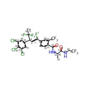 CCC(F)(F)C(/C=C(\F)c1ccc(C(=O)N[C@H](C)C(=O)NCC(F)(F)F)c(C(F)(F)F)c1)c1cc(Cl)c(Cl)c(Cl)c1